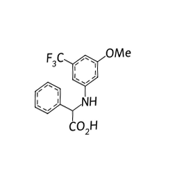 COc1cc(NC(C(=O)O)c2ccccc2)cc(C(F)(F)F)c1